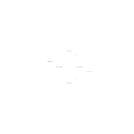 C=CCN1c2ccccc2C(C(=O)N=S(=O)=O)c2ccccc21